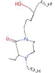 CC1C(=O)N(CCC(O)C(=O)O)CCN1C(=O)O